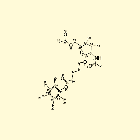 CC(=O)NC1[C@H](OCCCCC(=O)Oc2c(F)c(F)c(F)c(F)c2F)OC(COC(C)=O)[C@H](C)[C@@H]1C